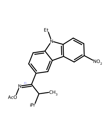 CCn1c2ccc(/C(=N/OC(C)=O)C(C)C(C)C)cc2c2cc([N+](=O)[O-])ccc21